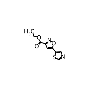 CCOC(=O)c1cc(-c2cncs2)on1